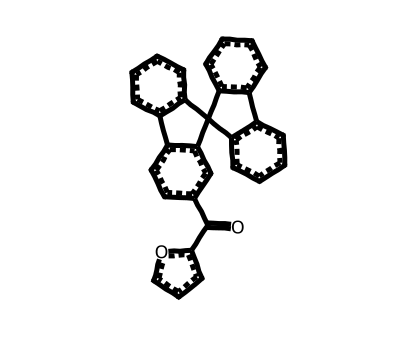 O=C(c1ccc2c(c1)C1(c3ccccc3-c3ccccc31)c1ccccc1-2)c1ccco1